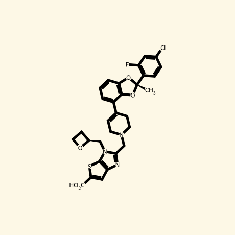 C[C@]1(c2ccc(Cl)cc2F)Oc2cccc(C3=CCN(Cc4nc5cc(C(=O)O)sc5n4C[C@@H]4CCO4)CC3)c2O1